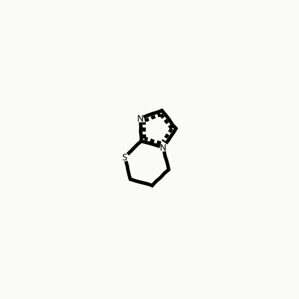 [CH]1CSc2nccn2C1